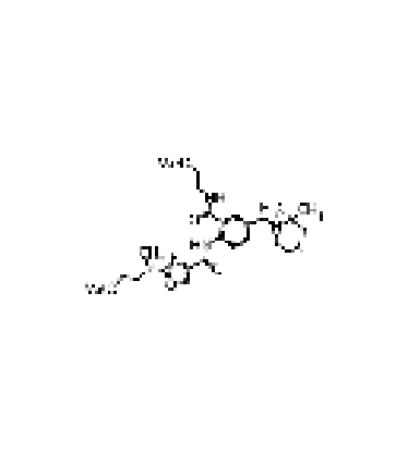 COCCNC(=O)c1cc(CN2CCOCC2(C)C)ccc1NC(=O)c1coc(N(C)CCOC)n1